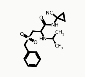 C[C@H](N[C@@H](CS(=O)(=O)Cc1ccccc1)C(=O)NC1(C#N)CC1)C(F)(F)F